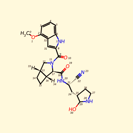 COc1cccc2[nH]c(C(=O)N3C[C@H]4CC[C@H]4[C@@H]3C(=O)N[C@H](C#N)C[C@@H]3CCNC3O)cc12